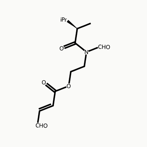 CC(C)[C@@H](C)C(=O)N(C=O)CCOC(=O)/C=C/C=O